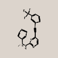 C[C@@H](Nc1nccc(C#Cc2cccc(C(F)(F)F)c2)n1)c1ccccc1